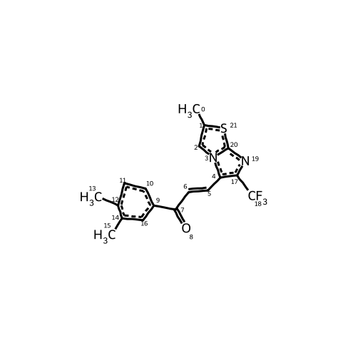 Cc1cn2c(C=CC(=O)c3ccc(C)c(C)c3)c(C(F)(F)F)nc2s1